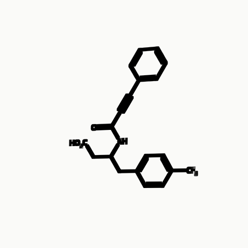 O=C(O)CC(Cc1ccc(C(F)(F)F)cc1)NC(=O)C#Cc1ccccc1